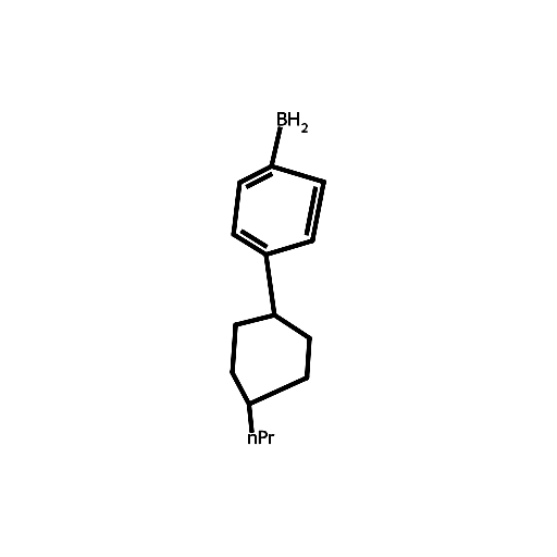 Bc1ccc(C2CCC(CCC)CC2)cc1